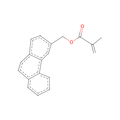 C=C(C)C(=O)OCc1ccc2ccc3ccccc3c2c1